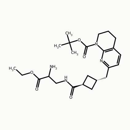 CCOC(=O)C(N)CNC(=O)[C@H]1C[C@H](Cc2ccc3c(n2)N(C(=O)OC(C)(C)C)CCC3)C1